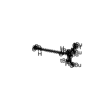 CC(C)(C)OC(=O)NCCCN(CCCCN(CC(CCCCCCNC(=O)CCCCCCCCCCCCCCCCCCCCCCCNC(=O)CCCN1C(=O)C=CC1=O)CN(CCCCN(CCCNC(=O)OC(C)(C)C)C(=O)OC(C)(C)C)C(=O)OC(C)(C)C)C(=O)OC(C)(C)C)C(=O)OC(C)(C)C